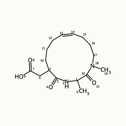 CC1NC(=O)C(CC(=O)O)CCCC=CCCCN(C)C1=O